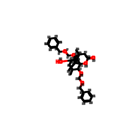 CC1CCC2(OCOCc3ccccc3)C3(C)CC(=O)OC2(C1OCOCc1ccccc1)C1C(C)C(O)CC13